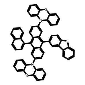 c1ccc2c(c1)Sc1ccccc1N2c1ccc2c(-c3cccc4ccccc34)c3cc(N4c5ccccc5Sc5ccccc54)ccc3c(-c3ccc4sc5ccccc5c4c3)c2c1